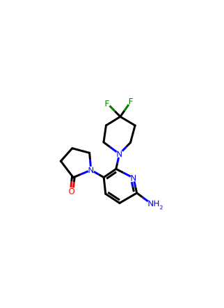 Nc1ccc(N2CCCC2=O)c(N2CCC(F)(F)CC2)n1